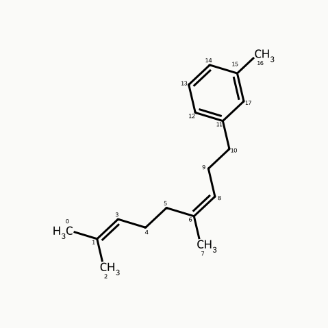 CC(C)=CCCC(C)=CCCc1cccc(C)c1